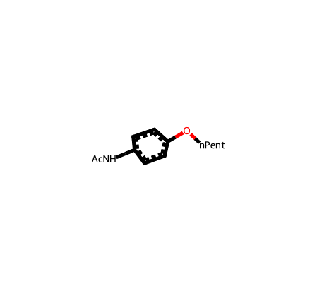 CCCCCOc1ccc(NC(C)=O)cc1